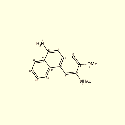 COC(=O)/C(=C\c1ccc(N)c2ccccc12)NC(C)=O